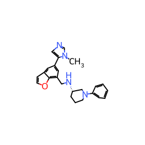 Cn1cncc1-c1cc(CN[C@H]2CCCN(c3ccccc3)C2)c2occc2c1